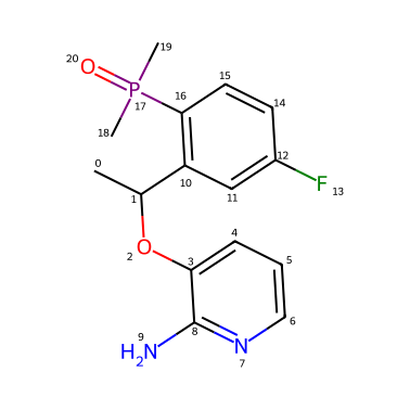 CC(Oc1cccnc1N)c1cc(F)ccc1P(C)(C)=O